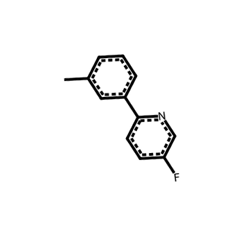 Cc1cccc(-c2ccc(F)cn2)c1